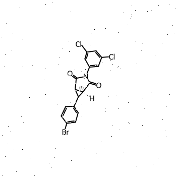 O=C1C2C(c3ccc(Br)cc3)[C@@H]2C(=O)N1c1cc(Cl)cc(Cl)c1